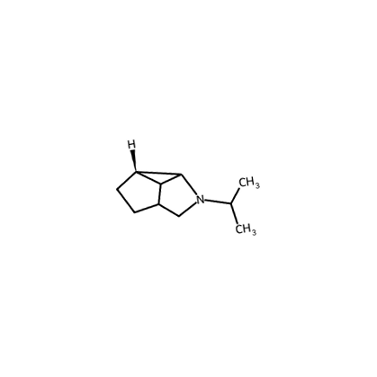 CC(C)N1CC2CC[C@H]3C2C31